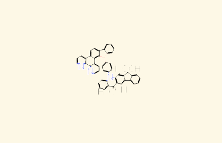 CC1(C)c2ccccc2-c2cc3c(cc21)N(c1ccc(B2c4ccccc4-c4ccc5c6cccnc6c6ncccc6c5c42)cc1)c1ccccc1C3(C)C